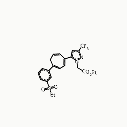 CCOC(=O)Cn1nc(C(F)(F)F)cc1C1=CC=C(c2cccc(S(=O)(=O)CC)c2)CC=C1